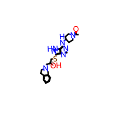 CC(=O)N1CCC(Nc2ncnc3c(SC[C@@H](O)CN4CCc5ccccc5C4)n[nH]c23)CC1